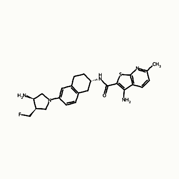 Cc1ccc2c(N)c(C(=O)N[C@H]3CCc4cc(N5C[C@@H](CF)[C@@H](N)C5)ccc4C3)sc2n1